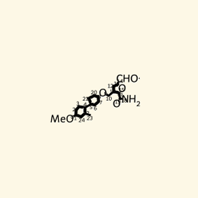 COc1ccc(-c2ccc(OCc3cc([C]=O)oc3C(N)=O)cc2)c(C)c1